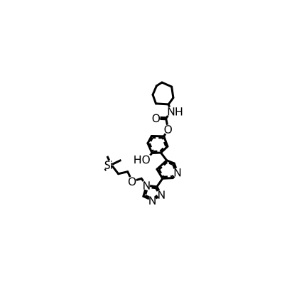 C[Si](C)(C)CCOCn1cnnc1-c1cncc(-c2cc(OC(=O)NC3CCCCCC3)ccc2O)c1